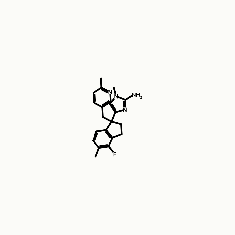 Cc1ccc(CC2(c3cn(C)c(N)n3)CCc3c2ccc(C)c3F)cn1